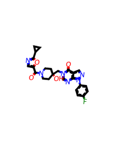 O=C(c1cnc(C2CC2)o1)N1CCC(O)(Cn2cnc3c(cnn3-c3ccc(F)cc3)c2=O)CC1